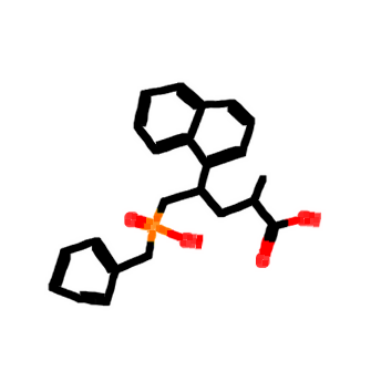 CC(CC(CP(=O)(O)Cc1ccccc1)c1cccc2ccccc12)C(=O)O